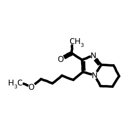 COCCCCc1c(C(C)=O)nc2n1CCCC2